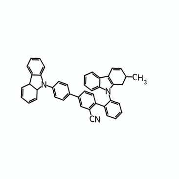 CC1C=Cc2c(n(-c3ccccc3-c3ccc(-c4ccc(N5c6ccccc6C6C=CC=CC65)cc4)cc3C#N)c3ccccc23)C1